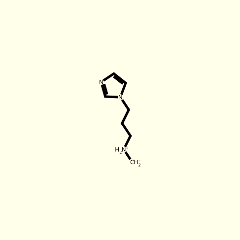 [CH2-][NH2+]CCCn1ccnc1